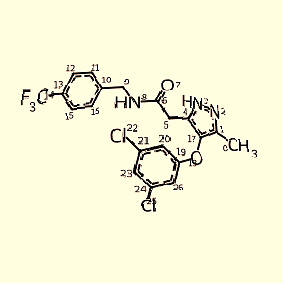 Cc1n[nH]c(CC(=O)NCc2ccc(C(F)(F)F)cc2)c1Oc1cc(Cl)cc(Cl)c1